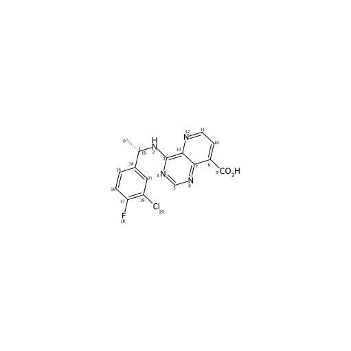 C[C@H](Nc1ncnc2c(C(=O)O)ccnc12)c1ccc(F)c(Cl)c1